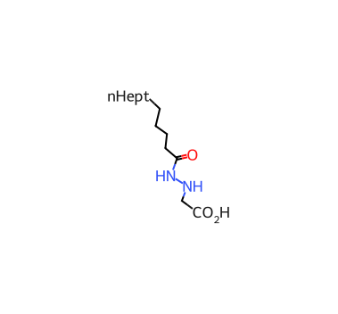 CCCCCCCCCCCC(=O)NNCC(=O)O